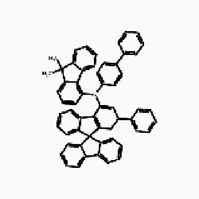 CC1(C)c2ccccc2-c2c(N(C3=CC(c4ccccc4)CC4=C3c3ccccc3C43c4ccccc4-c4ccccc43)c3ccc(-c4ccccc4)cc3)cccc21